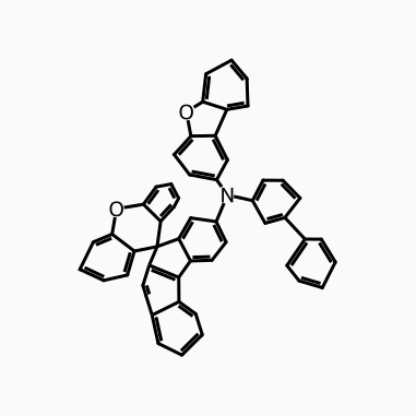 c1ccc(-c2cccc(N(c3ccc4c(c3)C3(c5ccccc5Oc5ccccc53)c3ccc5ccccc5c3-4)c3ccc4oc5ccccc5c4c3)c2)cc1